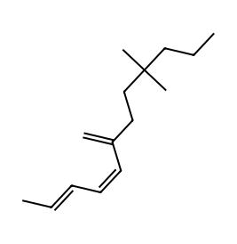 C=C(/C=C\C=CC)CCC(C)(C)CCC